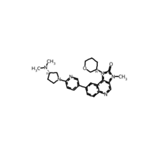 CN(C)[C@H]1CCN(c2ccc(-c3ccc4ncc5c(c4c3)n([C@@H]3CCCOC3)c(=O)n5C)cn2)C1